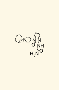 NC(=O)CNc1nc2ccccc2n(C2CCN(C3CCCCCCC3)CC2)c1=O